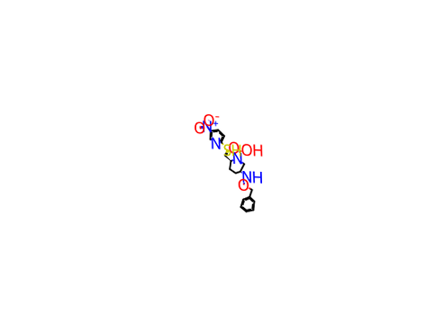 O=C(O)N1C[C@H](NOCc2ccccc2)CC[C@H]1C=[SH]c1ccc([N+](=O)[O-])cn1